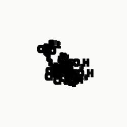 CCSC1CC(=O)N(CCCCCNC(=O)c2c(Cl)c(Cl)c(C(=O)O)c(C3=c4cc5c(c(S(=O)(=O)O)c4Oc4c3cc3c(c4S(=O)(=O)O)NC(C)(C)CC3C)=NC(C)(C)CC5)c2Cl)C1=O